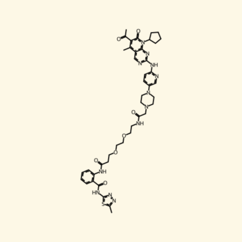 CC(=O)c1c(C)c2cnc(Nc3ccc(N4CCN(CC(=O)NCCOCCOCCC(=O)Nc5ccccc5C(=O)Nc5nnc(C)s5)CC4)cn3)nc2n(C2CCCC2)c1=O